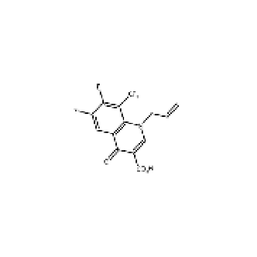 C=CCn1cc(C(=O)O)c(=O)c2cc(F)c(F)c(C(F)(F)F)c21